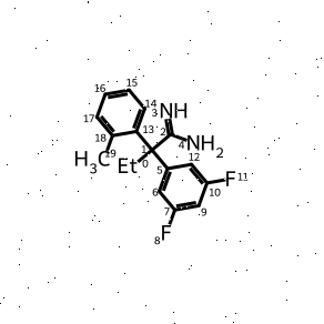 CCC(C(=N)N)(c1cc(F)cc(F)c1)c1ccccc1C